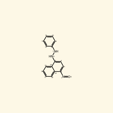 O=Nc1ccc(NNc2ccccc2)c2ccccc12